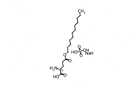 CCCCCCCCCCCCOC(=O)CC[C@H](N)C(=O)O.O=S(=O)(O)O.[NaH]